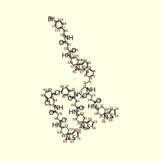 CC(CCc1ccccc1)NC(=O)CCC(=O)NC1CCC(c2cccs2)(N(C)C)CC1.CCN(Cc1ccccc1)C(=O)CCC(=O)NC1CCC(c2cccs2)(N(C)C)CC1.CN(C)C1(c2cccs2)CCC(NC(=O)CCC(=O)NCCc2c(Cl)cccc2Cl)CC1.CN(C)C1(c2cccs2)CCC(NC(=O)CCC(=O)NCCc2ccc(Br)cc2)CC1